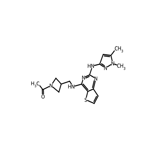 CC(=O)N1CC(CNc2nc(Nc3cc(C)n(C)n3)nc3ccsc23)C1